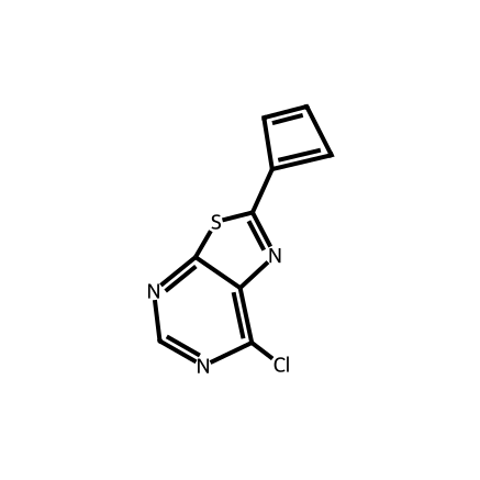 Clc1ncnc2sc(C3=CC=C3)nc12